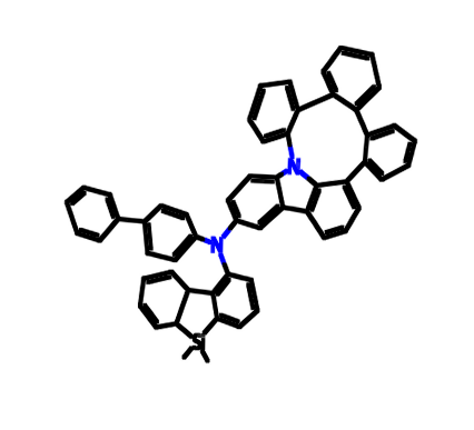 C[Si]1(C)c2cccc(N(c3ccc(-c4ccccc4)cc3)c3ccc4c(c3)c3cccc5c6ccccc6c6ccccc6c6ccccc6n4c53)c2C2C=CC=CC21